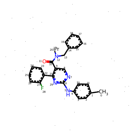 Cc1ccc(Nc2ncc(C(=O)N(Cc3ccccc3)C(C)C)c(-c3ccccc3F)n2)cc1